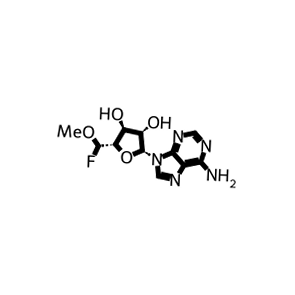 COC(F)[C@H]1O[C@@H](n2cnc3c(N)ncnc32)[C@@H](O)[C@@H]1O